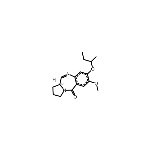 CCC(C)Oc1cc2c(cc1OC)C(=O)N1CCC[C@H]1C=N2